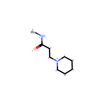 CCC(C)NC(=O)CCN1CCCCC1